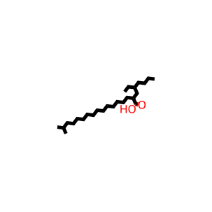 CCCCC(CC)CC(CCCCCCCCCCCCCC(C)C)C(=O)O